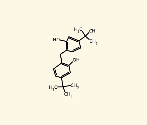 CC(C)(C)c1ccc(Cc2ccc(C(C)(C)C)cc2O)c(O)c1